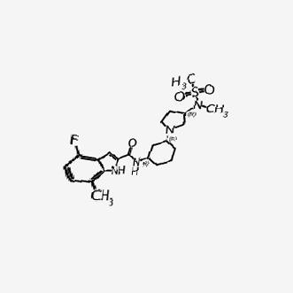 Cc1ccc(F)c2cc(C(=O)N[C@@H]3CCC[C@@H](N4CC[C@@H](N(C)S(C)(=O)=O)C4)C3)[nH]c12